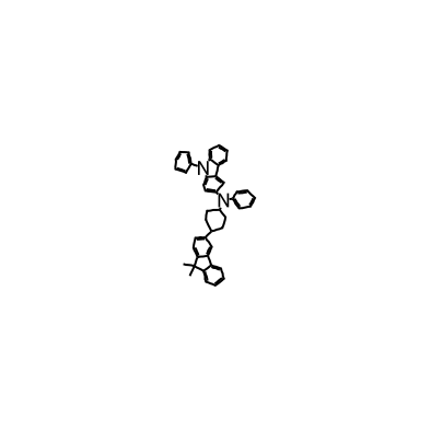 CC1(C)c2ccccc2-c2cc(C3CCC(N(c4ccccc4)c4ccc5c(c4)c4ccccc4n5-c4ccccc4)CC3)ccc21